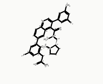 Cc1cc(F)cc(-c2cnc3ccc(-c4cc(F)cc(CC(N)=O)c4)cc3c2C(=O)N(C)C[C@@H]2CCCN2C(=O)O)c1